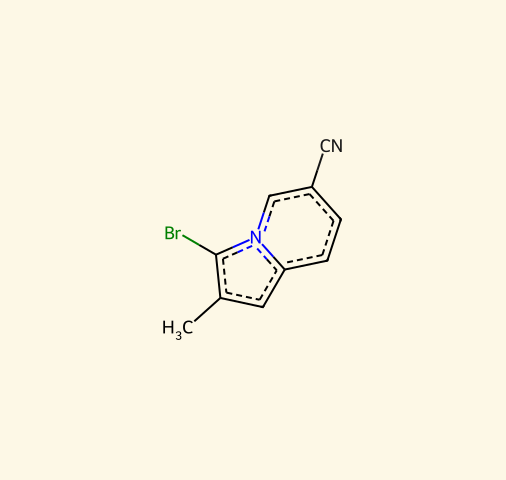 Cc1cc2ccc(C#N)cn2c1Br